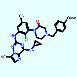 COc1ccc(CN2CCN(c3cc(C#N)cc(Nc4nc(NC5CC5)c5ncc(C#N)n5n4)c3Cl)C(=O)C2)cc1